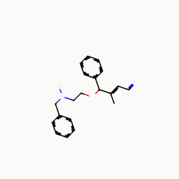 C/C(=C\C=N)C(OCCN(Cc1ccccc1)C(C)C)c1ccccc1